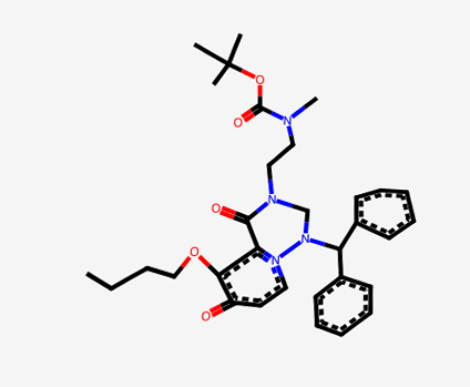 CCCCOc1c2n(ccc1=O)N(C(c1ccccc1)c1ccccc1)CN(CCN(C)C(=O)OC(C)(C)C)C2=O